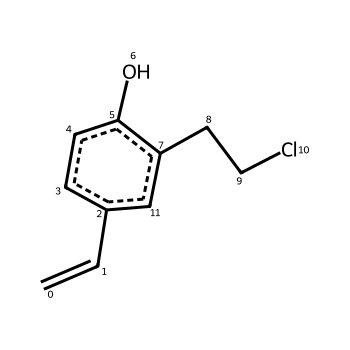 C=Cc1ccc(O)c(CCCl)c1